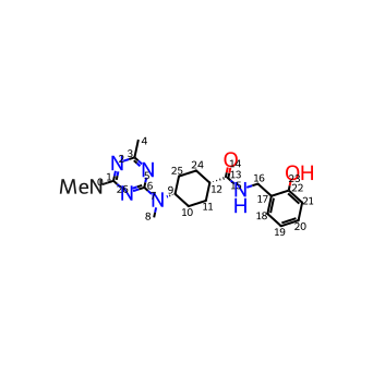 CNc1nc(C)nc(N(C)[C@H]2CC[C@@H](C(=O)NCc3ccccc3O)CC2)n1